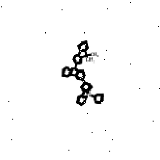 CC1(C)c2ccccc2-c2ccc(C3c4ccccc4-c4cc(-c5ccc6c(c5)c5ccccc5n6-c5ccccc5)ccc43)cc21